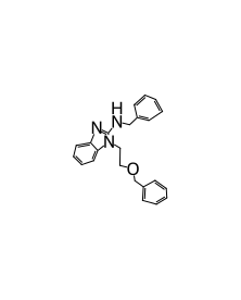 c1ccc(CNc2nc3ccccc3n2CCOCc2ccccc2)cc1